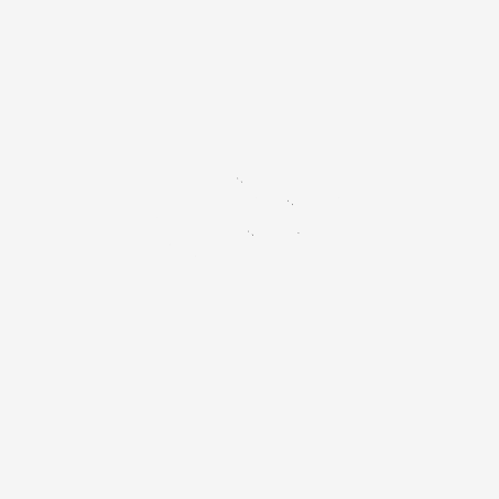 COC1=C(C)CC23C=CC=C[N+]2(OC)c2ncc(SC(C)=O)n2C3=C1C